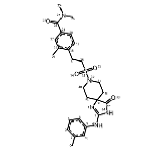 Cc1cccc(NC2=NC3(CCN(S(=O)(=O)CCc4ccc(C(=O)N(C)C)cc4C)CC3)C(=O)N2)c1